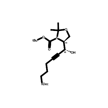 CCCCCCCCCCCCCC#C[C@@H](O)[C@@H]1COC(C)(C)N1C(=O)OC(C)(C)C